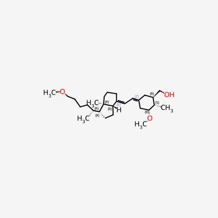 COCCCC[C@@H](C)[C@H]1CC[C@H]2/C(=C/C=C3/C[C@@H](CO)[C@H](C)[C@H](OC)C3)CCC[C@]12C